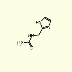 BC(=O)NCc1ncc[nH]1